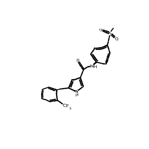 CS(=O)(=O)c1ccc(NC(=O)c2c[nH]c(-c3ccccc3C(F)(F)F)c2)cc1